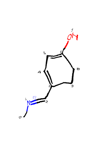 C/N=C/C1=CC=C(O)CC1